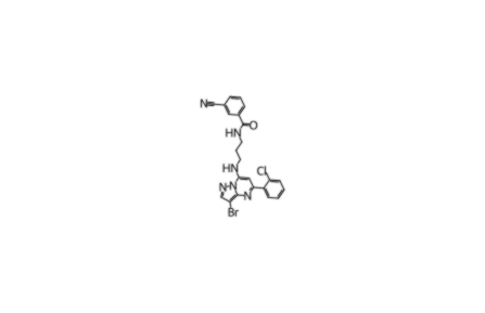 N#Cc1cccc(C(=O)NCCCNc2cc(-c3ccccc3Cl)nc3c(Br)cnn23)c1